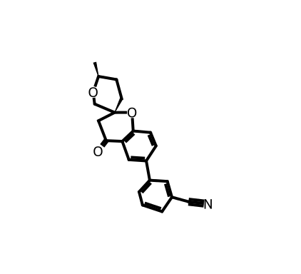 C[C@H]1CC[C@]2(CO1)CC(=O)c1cc(-c3cccc(C#N)c3)ccc1O2